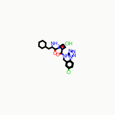 Cl.N[C@H](CC1CCCCC1)C(=O)N1CC2CC1(C(=O)NCc1cc(Cl)ccc1-n1cnnn1)C2